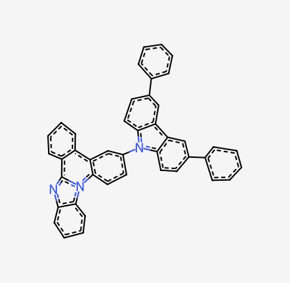 c1ccc(-c2ccc3c(c2)c2cc(-c4ccccc4)ccc2n3-c2ccc3c(c2)c2ccccc2c2nc4ccccc4n32)cc1